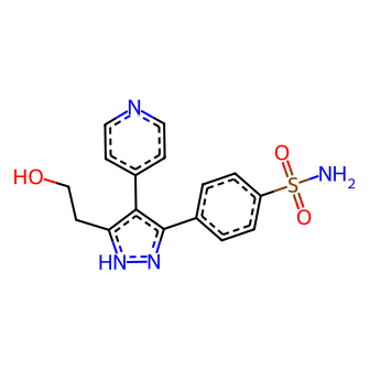 NS(=O)(=O)c1ccc(-c2n[nH]c(CCO)c2-c2ccncc2)cc1